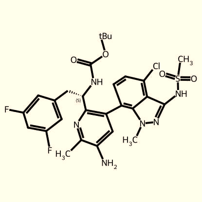 Cc1nc([C@H](Cc2cc(F)cc(F)c2)NC(=O)OC(C)(C)C)c(-c2ccc(Cl)c3c(NS(C)(=O)=O)nn(C)c23)cc1N